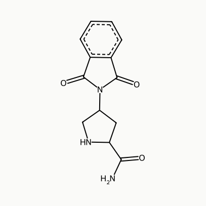 NC(=O)C1CC(N2C(=O)c3ccccc3C2=O)CN1